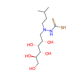 CC(C)CCN(C[C@H](O)[C@@H](O)[C@H](O)[C@H](O)CO)NC(=S)S